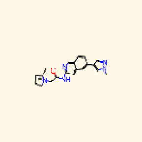 C[C@@H]1CCCN1CC(=O)Nc1cc2cc(-c3cnn(C)c3)ccc2cn1